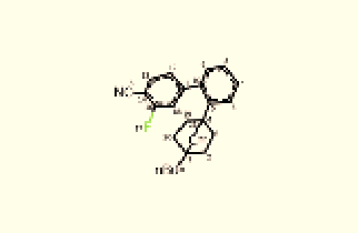 CCCCC12CCC(c3ccccc3-c3ccc(C#N)c(F)c3)(CC1)CC2